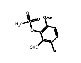 COc1ccc(Br)c(C=O)c1OS(C)(=O)=O